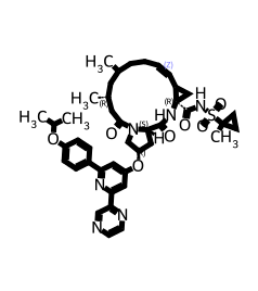 CC1CC/C=C\C2C[C@@]2(C(=O)NS(=O)(=O)C2(C)CC2)NC(=O)[C@@H]2C[C@@H](Oc3cc(-c4ccc(OC(C)C)cc4)nc(-c4cnccn4)c3)CN2C(=O)C[C@H](C)C1